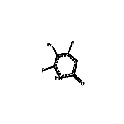 CC(C)c1c(F)cc(=O)[nH]c1F